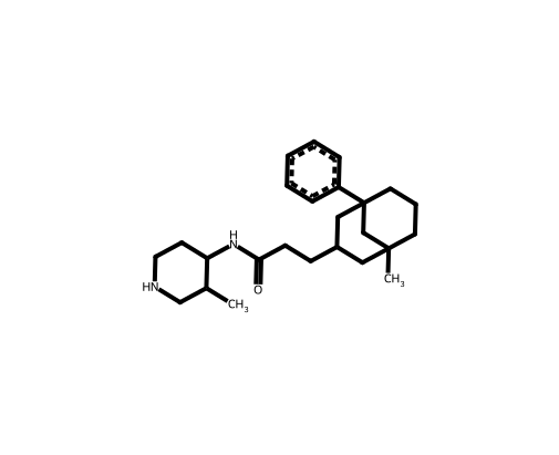 CC1CNCCC1NC(=O)CCC1CC2(C)CCCC(c3ccccc3)(C1)C2